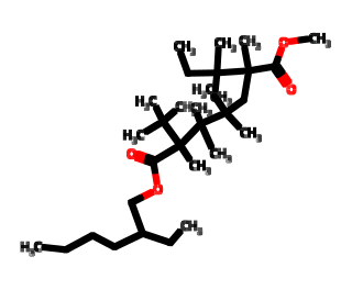 CCCCC(CC)COC(=O)C(C)(C(C)(C)C)C(C)(C)C(C)(C)CC(C)(C(=O)OC)C(C)(C)CC